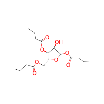 CCCC(=O)OC[C@H]1OC(OC(=O)CCC)[C@H](O)[C@@H]1OC(=O)CCC